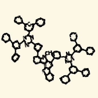 Cn1c2c(-c3cccc(-c4nc(-c5cc(-c6ccccc6)cc(-c6ccccc6)c5)nc(-c5cc(-c6ccccc6)cc(-c6ccccc6)c5)n4)c3)cccc2c2c3sc4ccccc4c3cc(-c3cccc(-c4nc(-c5cc(-c6ccccc6)cc(-c6ccccc6)c5)nc(-c5cc(-c6ccccc6)cc(-c6ccccc6)c5)n4)c3)c21